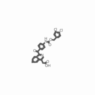 O=C(O)Cc1cnc(C(=O)c2ccc(NC(=O)OCc3ccc(Cl)c(Cl)c3)cc2)c2ccccc12